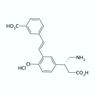 Cl.NC[C@H](CC(=O)O)c1ccc(Cl)c(C=Cc2cccc(C(=O)O)c2)c1